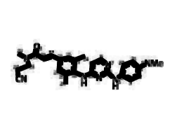 CNc1ccc(Nc2nccc(Nc3c(C)cc(/C=C/C(=O)N(C)CCC#N)cc3C)n2)cc1